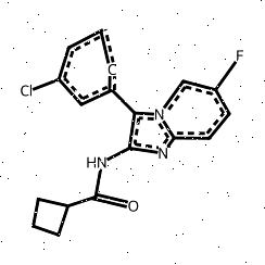 O=C(Nc1nc2ccc(F)cn2c1-c1cccc(Cl)c1)C1CCC1